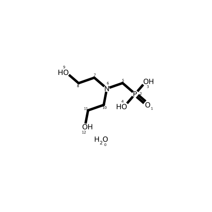 O.O=P(O)(O)CN(CCO)CCO